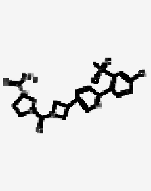 CS(=O)(=O)c1cc(Cl)ccc1-c1ccc(C2CN(C(=O)N3CC[C@H](C(N)=O)C3)C2)cn1